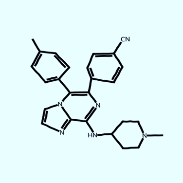 Cc1ccc(-c2c(-c3ccc(C#N)cc3)nc(NC3CCN(C)CC3)c3nccn23)cc1